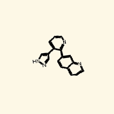 c1cnc(-c2ccc3cccnc3c2)c(-c2cn[nH]c2)c1